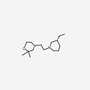 CC[C@H]1CCCN(CCN2CCOC(C)(C)C2)C1